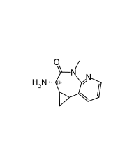 CN1C(=O)[C@@H](N)C2CC2c2cccnc21